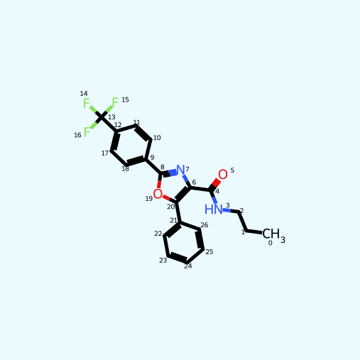 CCCNC(=O)c1nc(-c2ccc(C(F)(F)F)cc2)oc1-c1ccccc1